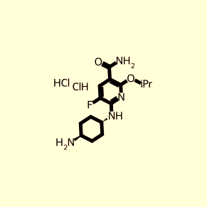 CC(C)Oc1nc(N[C@H]2CC[C@H](N)CC2)c(F)cc1C(N)=O.Cl.Cl